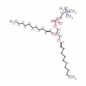 CCCCCCCCCC=COC[C@H](COP(=O)([O-])OCC[N+](C)(C)C)OC=CCCCCCCCCC